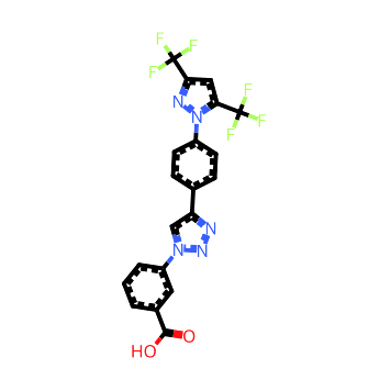 O=C(O)c1cccc(-n2cc(-c3ccc(-n4nc(C(F)(F)F)cc4C(F)(F)F)cc3)nn2)c1